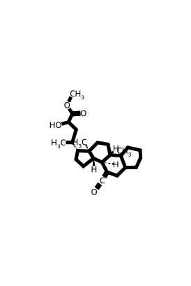 COC(=O)C(O)CC(C)[C@H]1CC[C@H]2[C@@H]3C(=C=O)CC4CCCC[C@]4(C)[C@H]3CC[C@]12C